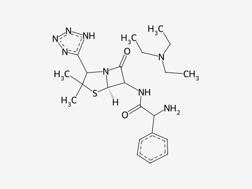 CC1(C)S[C@@H]2C(NC(=O)C(N)c3ccccc3)C(=O)N2C1c1nnn[nH]1.CCN(CC)CC